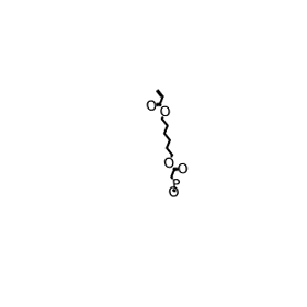 C=CC(=O)OCCCCCCOC(=O)CP=O